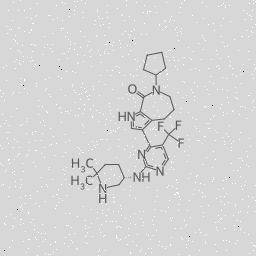 CC1(C)CC[C@H](Nc2ncc(C(F)(F)F)c(-c3c[nH]c4c3CCCN(C3CCCC3)C4=O)n2)CN1